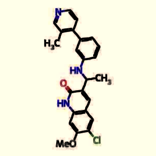 COc1cc2[nH]c(=O)c(C(C)Nc3cccc(-c4ccncc4C)c3)cc2cc1Cl